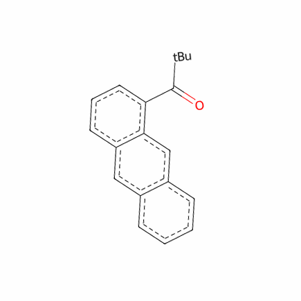 CC(C)(C)C(=O)c1cccc2cc3ccccc3cc12